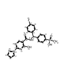 CP(=O)(O)c1ccc([C@@H](NC(=O)c2cnc(-n3cccn3)nc2O)c2ccc(F)cc2)cc1